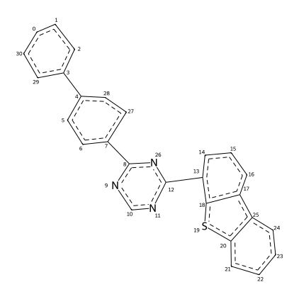 c1ccc(-c2ccc(-c3ncnc(-c4cccc5c4sc4ccccc45)n3)cc2)cc1